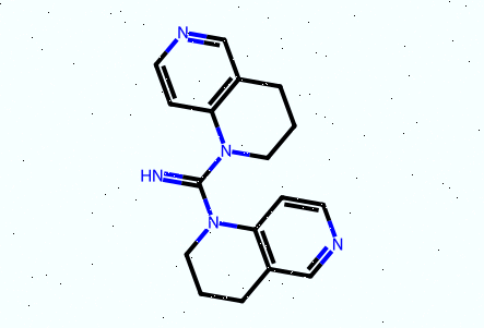 N=C(N1CCCc2cnccc21)N1CCCc2cnccc21